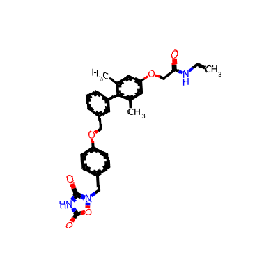 CCNC(=O)COc1cc(C)c(-c2cccc(COc3ccc(Cn4oc(=O)[nH]c4=O)cc3)c2)c(C)c1